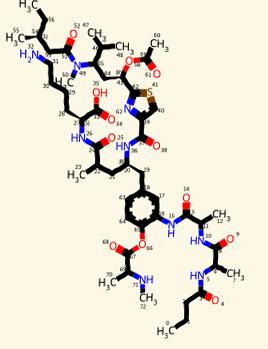 CCCC(=O)NC(C)C(=O)NC(C)C(=O)Nc1cc(C[C@@H](CC(C)C(=O)N[C@@H](CCCCN)C(=O)O)NC(=O)c2csc([C@@H](CC(C(C)C)N(C)C(=O)C[C@@H](C)CC)OC(C)=O)n2)ccc1OC(=O)C(C)NC